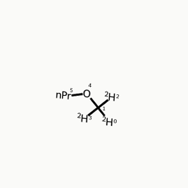 [2H]C([2H])([2H])OC[CH]C